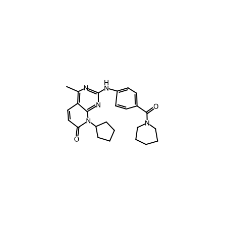 Cc1nc(Nc2ccc(C(=O)N3CCCCC3)cc2)nc2c1ccc(=O)n2C1CCCC1